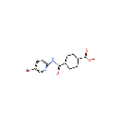 COC(=O)C1CCC(C(=O)Nc2ccc(Br)cn2)CC1